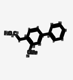 CCOC(=O)Cc1ccc(-c2ccccc2)cc1OC